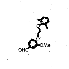 COc1cc(C=O)ccc1OCCOc1c(C)cccc1C